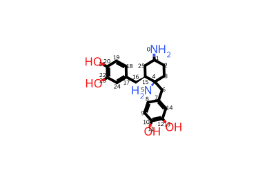 NC1CC[C@](N)(Cc2ccc(O)c(O)c2)[C@@H](Cc2ccc(O)c(O)c2)C1